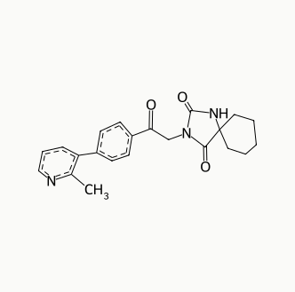 Cc1ncccc1-c1ccc(C(=O)CN2C(=O)NC3(CCCCC3)C2=O)cc1